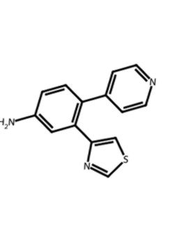 Nc1ccc(-c2ccncc2)c(-c2cscn2)c1